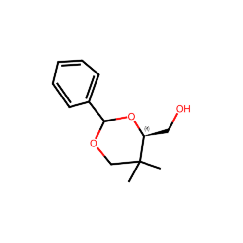 CC1(C)COC(c2ccccc2)O[C@H]1CO